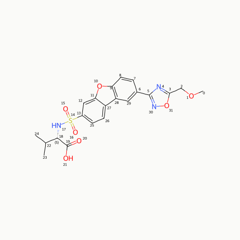 COCc1nc(-c2ccc3oc4cc(S(=O)(=O)N[C@H](C(=O)O)C(C)C)ccc4c3c2)no1